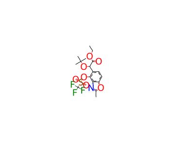 CCOC(=O)C(OC(C)(C)C)c1ccc2oc(C)nc2c1OS(=O)(=O)C(F)(F)F